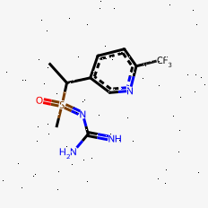 CC(c1ccc(C(F)(F)F)nc1)S(C)(=O)=NC(=N)N